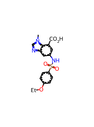 CCOc1ccc(S(=O)(=O)Nc2cc(C(=O)O)c3c(c2)ncn3C)cc1